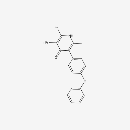 CCCc1c(CC)[nH]c(C)c(-c2ccc(Oc3ccccc3)cc2)c1=O